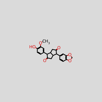 COc1cc(C2C(=O)CC3C(c4ccc5c(c4)OCO5)C(=O)CC23)ccc1O